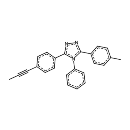 CC#Cc1ccc(-c2nnc(-c3ccc(C)cc3)n2-c2ccccc2)cc1